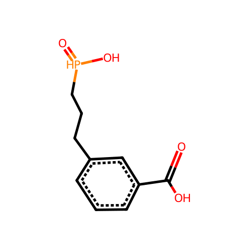 O=C(O)c1cccc(CCC[PH](=O)O)c1